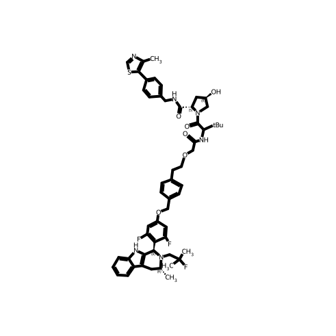 Cc1ncsc1-c1ccc(CNC(=O)[C@@H]2C[C@@H](O)CN2C(=O)C(NC(=O)COCCc2ccc(COc3cc(F)c([C@@H]4c5[nH]c6ccccc6c5C[C@@H](C)N4CC(C)(C)F)c(F)c3)cc2)C(C)(C)C)cc1